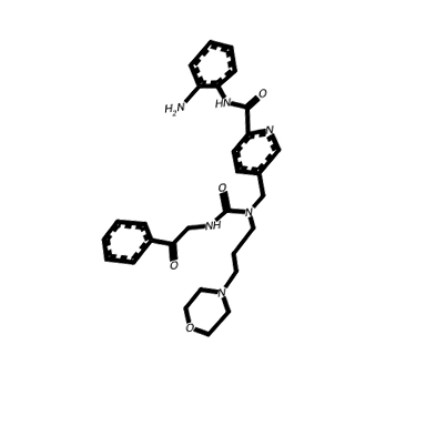 Nc1ccccc1NC(=O)c1ccc(CN(CCCN2CCOCC2)C(=O)NCC(=O)c2ccccc2)cn1